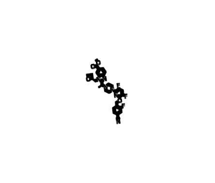 COC(=O)c1ccc2nc([C@H](C)N3CCN(c4nc(OCc5ccc(C#N)cc5F)c(F)cc4F)CC3)n(C[C@@H]3CCO3)c2c1